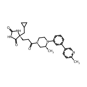 Cc1ccc(-c2cccc(N3CCN(C(=O)CC[C@]4(CC5CC5)NC(=O)NC4=O)C[C@@H]3C)c2)cn1